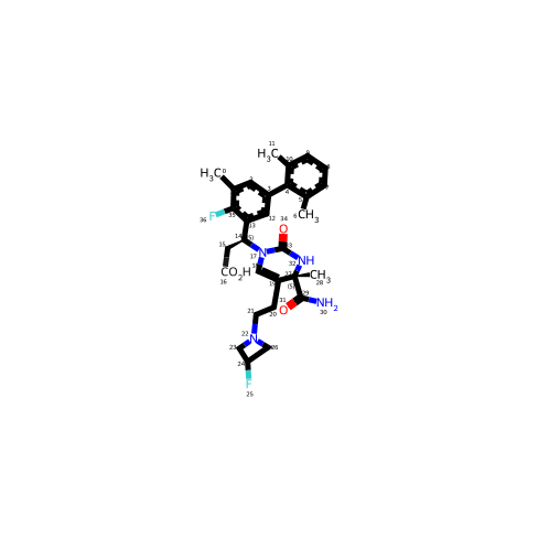 Cc1cc(-c2c(C)cccc2C)cc([C@H](CC(=O)O)N2C=C(CCN3CC(F)C3)[C@@](C)(C(N)=O)NC2=O)c1F